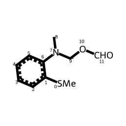 CSc1ccccc1N(C)[CH]OC=O